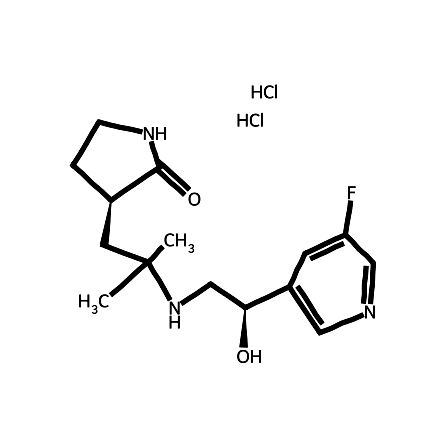 CC(C)(C[C@H]1CCNC1=O)NC[C@H](O)c1cncc(F)c1.Cl.Cl